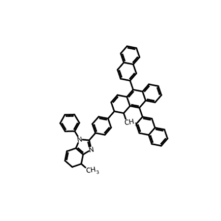 CC1CC=Cc2c1nc(-c1ccc(C3C=Cc4c(c(-c5ccc6ccccc6c5)c5ccccc5c4-c4ccc5ccccc5c4)C3C)cc1)n2-c1ccccc1